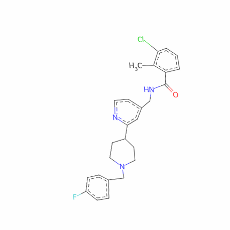 Cc1c(Cl)cccc1C(=O)NCc1ccnc(C2CCN(Cc3ccc(F)cc3)CC2)c1